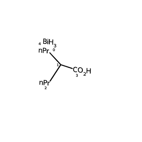 CCCC(CCC)C(=O)O.[BiH3]